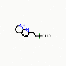 O=CC(F)(F)CCc1ccc2c(n1)NCCC2